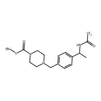 CC(NC(=O)C(F)(F)F)c1ccc(CN2CCN(C(=O)OC(C)(C)C)CC2)cc1